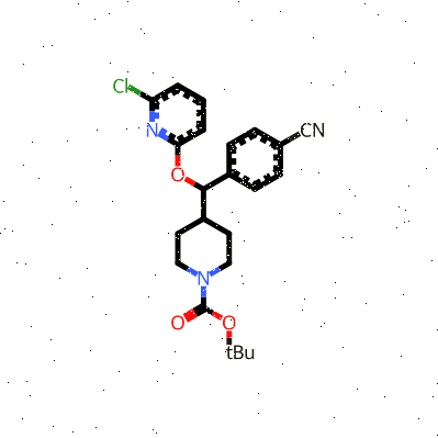 CC(C)(C)OC(=O)N1CCC(C(Oc2cccc(Cl)n2)c2ccc(C#N)cc2)CC1